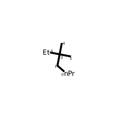 CCCCC(C)(C)CC